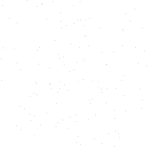 CCn1c2ccccc2c2cc(-n3nncc3-c3ccc(CCN4CCNCC4)cc3)ccc21